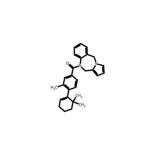 Cc1cc(C(=O)N2Cc3cccn3Cc3ccccc32)ccc1C1=CCCCC1(C)C